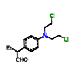 CCC([C]=O)c1ccc(N(CCCl)CCCl)cc1